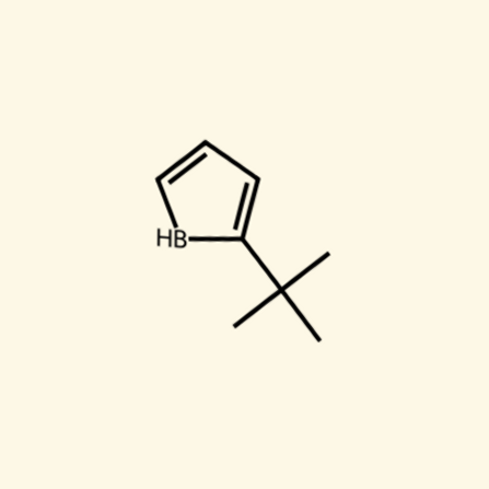 CC(C)(C)C1=CC=CB1